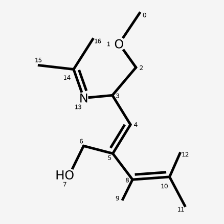 COCC(/C=C(\CO)C(C)=C(C)C)N=C(C)C